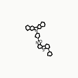 c1ccc(-c2cccc3c2sc2ccc4nc(-c5ccc(-n6c7cc8ccccc8cc7c7cc8ccccc8cc76)cc5)oc4c23)cc1